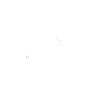 C=C(C)C(=O)NCCN1CCCCC1